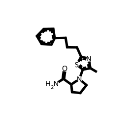 Cc1nc(CCCc2ccccc2)sc1N1CCCC1C(N)=O